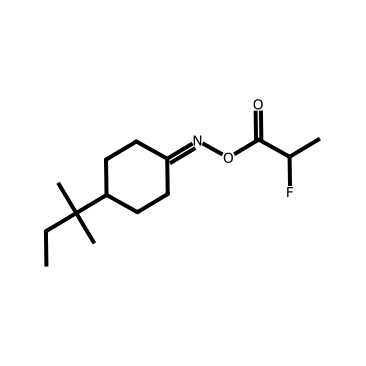 CCC(C)(C)C1CCC(=NOC(=O)C(C)F)CC1